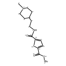 CN1CCC(CCNC(=O)c2ccc(C(=O)OC(C)(C)C)s2)CC1